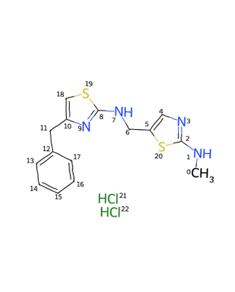 CNc1ncc(CNc2nc(Cc3ccccc3)cs2)s1.Cl.Cl